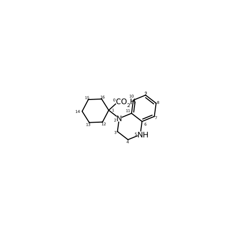 O=C(O)C1(N2CCNc3ccccc32)CCCCC1